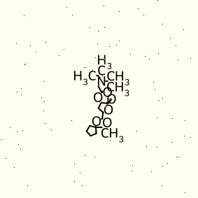 CCC1(OC(=O)C2CC(OC(=O)CN(C(C)C)C(C)C)C(=O)O2)CCCC1